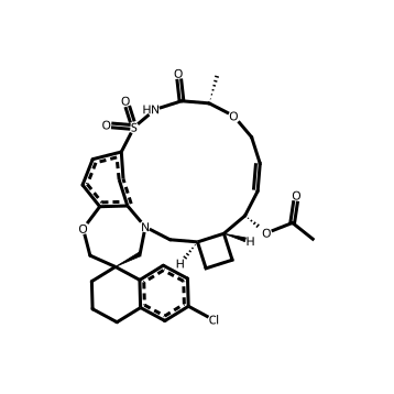 CC(=O)O[C@H]1C=CCO[C@@H](C)C(=O)NS(=O)(=O)c2ccc3c(c2)N(C[C@@H]2CC[C@H]21)C[C@@]1(CCCc2cc(Cl)ccc21)CO3